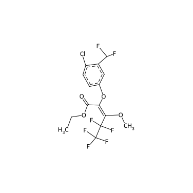 CCOC(=O)C(Oc1ccc(Cl)c(C(F)F)c1)=C(OC)C(F)(F)C(F)(F)F